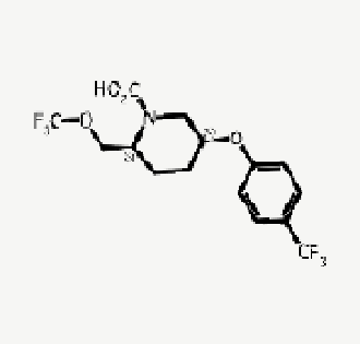 O=C(O)N1C[C@@H](Oc2ccc(C(F)(F)F)cc2)CC[C@H]1COC(F)(F)F